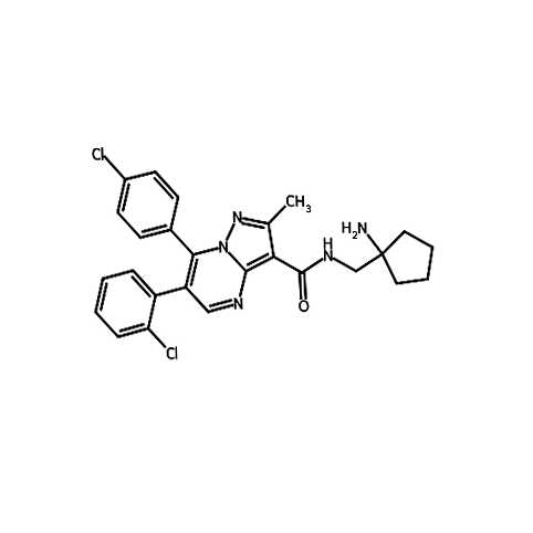 Cc1nn2c(-c3ccc(Cl)cc3)c(-c3ccccc3Cl)cnc2c1C(=O)NCC1(N)CCCC1